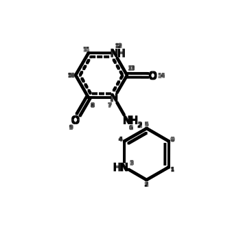 C1=CCNC=C1.Nn1c(=O)cc[nH]c1=O